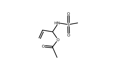 C=CC(NS(C)(=O)=O)OC(C)=O